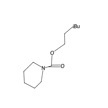 CCC(C)CCOC(=O)N1CCCCC1